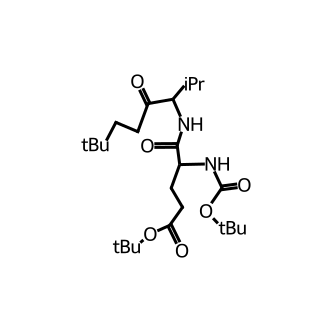 CC(C)C(NC(=O)C(CCC(=O)OC(C)(C)C)NC(=O)OC(C)(C)C)C(=O)CCC(C)(C)C